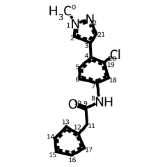 Cn1cc(-c2ccc(NC(=O)Cc3ccccc3)cc2Cl)cn1